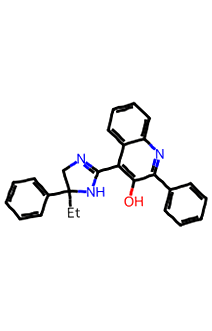 CCC1(c2ccccc2)CN=C(c2c(O)c(-c3ccccc3)nc3ccccc23)N1